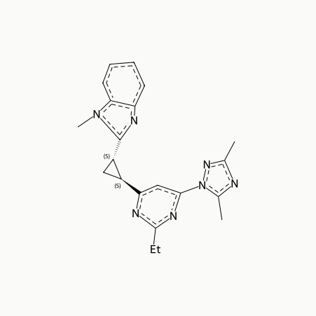 CCc1nc([C@H]2C[C@@H]2c2nc3ccccc3n2C)cc(-n2nc(C)nc2C)n1